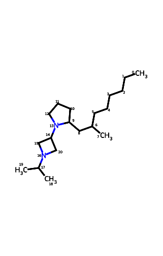 CCCCCCC(C)CC1CCCN1C1CN(C(C)C)C1